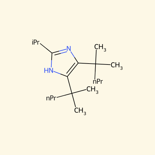 CCCC(C)(C)c1nc(C(C)C)[nH]c1C(C)(C)CCC